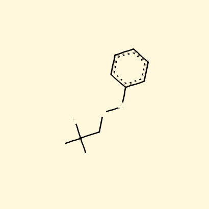 FC(F)(F)CSNc1ccccc1